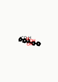 O=C(O)C1(c2ccc3c(c2)OC[C@@](O)(Cc2ccc(-c4ccccc4)cc2)[C@H]3O)CCCC1